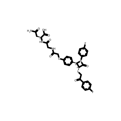 NC(=O)C[C@H](NC(=O)CNC(=O)COc1ccc([C@@H]2[C@@H](SCC(=O)c3ccc(F)cc3)C(=O)N2c2ccc(F)cc2)cc1)C(=O)O